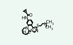 CN(C)CCSN1N=CN(C)C1c1ccc(NC(=O)C2CC2)cc1N1CCCCCC1